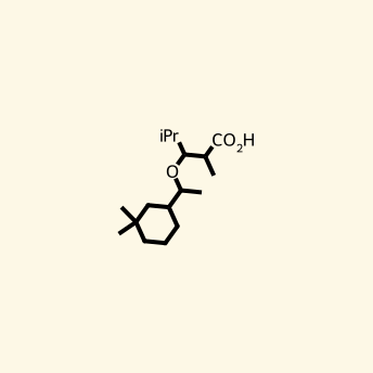 CC(C)C(OC(C)C1CCCC(C)(C)C1)C(C)C(=O)O